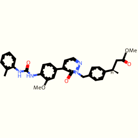 COC(=O)C[C@@H](C)c1ccc(Cn2nccc(-c3ccc(NC(=O)Nc4ccccc4C)c(OC)c3)c2=O)cc1